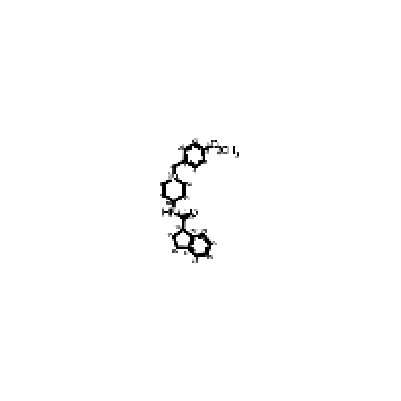 COc1ccc(CN2CCC(NC(=O)C3CCc4ccccc43)CC2)cc1